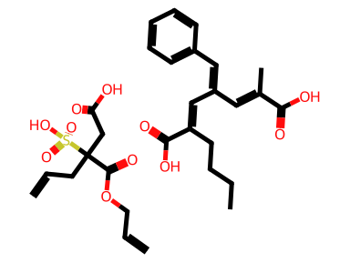 C=CCOC(=O)C(CC=C)(CC(=O)O)S(=O)(=O)O.CCCCC(=CC(=Cc1ccccc1)C=C(C)C(=O)O)C(=O)O